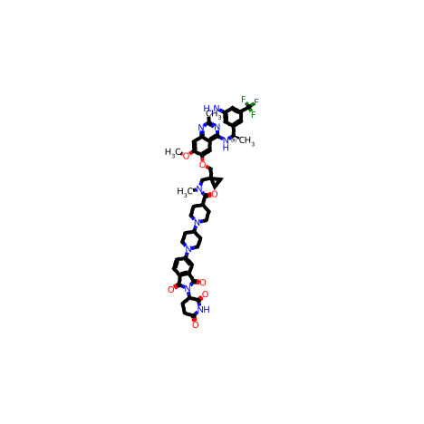 COc1cc2nc(C)nc(N[C@H](C)c3cc(N)cc(C(F)(F)F)c3)c2cc1OCC1(CN(C)C(=O)C2CCN(C3CCN(c4ccc5c(c4)C(=O)N(C4CCC(=O)NC4=O)C5=O)CC3)CC2)CC1